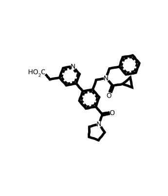 O=C(O)Cc1cncc(-c2ccc(C(=O)N3CCCC3)cc2CN(Cc2ccccc2)C(=O)C2CC2)c1